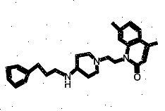 Cc1ccc2c(C)cc(=O)n(CCN3CCC(NCCCc4ccccc4)CC3)c2c1